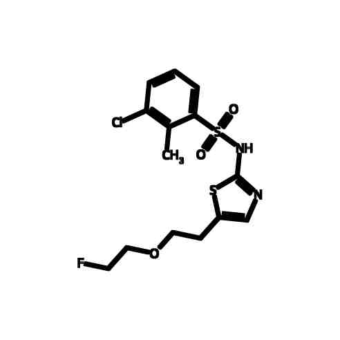 Cc1c(Cl)cccc1S(=O)(=O)Nc1ncc(CCOCCF)s1